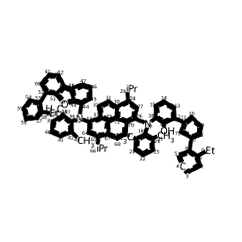 CCc1ccccc1-c1cccc(-c2cccc(N(c3c(C)cccc3C)c3cc(C(C)C)c4ccc5c(N(c6c(C)cccc6C)c6cccc7c6oc6c(-c8ccccc8CC)cccc67)cc(C(C)C)c6ccc3c4c65)c2O)c1